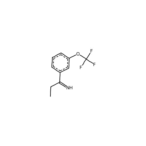 CCC(=N)c1cccc(OC(F)(F)F)c1